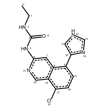 CCNC(=O)Nc1cc2c(-c3c[nH]cn3)ccc(Cl)c2cn1